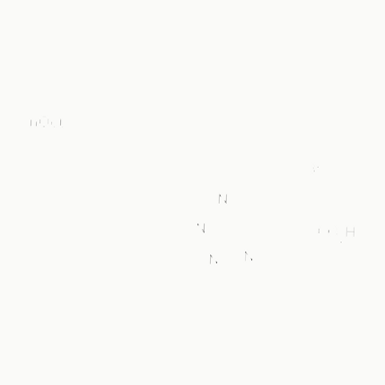 CCCCCCCCCCCCn1nnc(C(Br)C(=O)O)n1